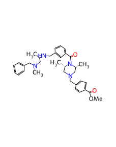 COC(=O)c1ccc(CN2C[C@@H](C)N(C(=O)c3cccc(CNC(C)CN(C)Cc4ccccc4)c3)[C@@H](C)C2)cc1